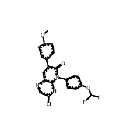 COc1ccc(-c2cc3ncc(Cl)nc3n(-c3ccc(OC(F)F)cc3)c2=O)cc1